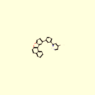 N#Cc1ccnc(-c2cccc(-c3ccc4oc5ccc6ccccc6c5c4c3)c2)c1